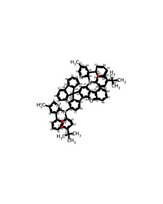 Cc1cnc(N(c2ccc(C(C)(C)C)cc2)c2ccc3c(c2)C2(c4ccccc4-c4ccccc42)c2cc(N(c4ccc(C(C)(C)C)cc4)c4ncc(C)cc4C4C=CC=CC4)c4c(oc5ccccc54)c2-3)c(-c2ccccc2)c1